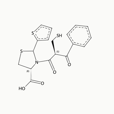 O=C(c1ccccc1)[C@H](CS)C(=O)N1C(c2cccs2)SC[C@H]1C(=O)O